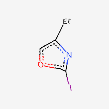 CCc1coc(I)n1